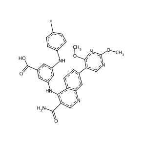 COc1ncc(-c2ccc3c(Nc4cc(Nc5ccc(F)cc5)cc(C(=O)O)c4)c(C(N)=O)cnc3c2)c(OC)n1